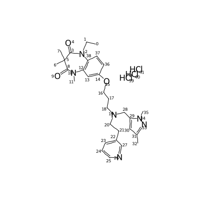 CCN1C(=O)C(C)(C)C(=O)N(C)c2cc(OCCCN(CCc3cccnc3)Cc3cc(C)nn3C)ccc21.Cl.Cl.Cl